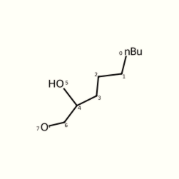 CCCCCCCC(O)C[O]